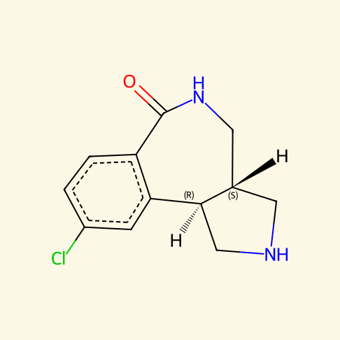 O=C1NC[C@@H]2CNC[C@H]2c2cc(Cl)ccc21